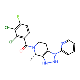 C[C@H]1C2=C(CCN1C(=O)c1ccc(F)c(Cl)c1Cl)N(c1ccccn1)NN2